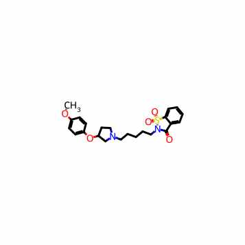 COc1ccc(OC2CCN(CCCCCN3C(=O)c4ccccc4S3(=O)=O)C2)cc1